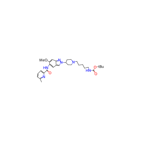 COc1cc2nn(C3CCN(CCCCCNC(=O)OC(C)(C)C)CC3)cc2cc1NC(=O)c1cccc(C)n1